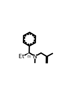 C=C(C)CN(C)[C@@H](CC)c1ccccc1